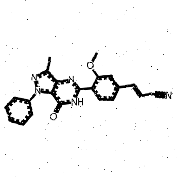 COc1cc(/C=C/C#N)ccc1-c1nc2c(C)nn(-c3ccccc3)c2c(=O)[nH]1